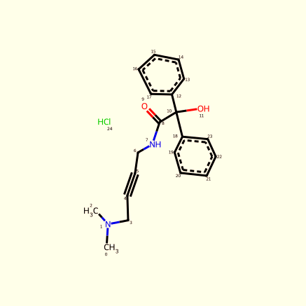 CN(C)CC#CCNC(=O)C(O)(c1ccccc1)c1ccccc1.Cl